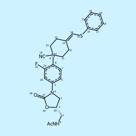 CC(=O)NC[C@H]1CN(c2ccc([N+]3(C#N)CCC(=CSc4ccccc4)CC3)c(F)c2)C(=O)O1